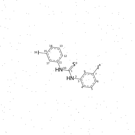 S=C(Nc1cccc(I)c1)Nc1cccc(I)c1